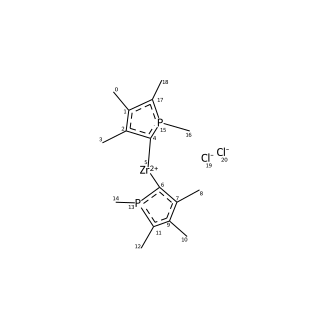 Cc1c(C)[c]([Zr+2][c]2c(C)c(C)c(C)p2C)p(C)c1C.[Cl-].[Cl-]